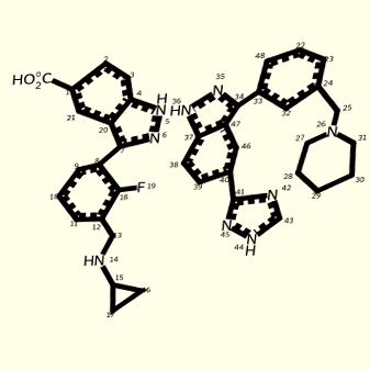 O=C(O)c1ccc2[nH]nc(-c3cccc(CNC4CC4)c3F)c2c1.c1cc(CN2CCCCC2)cc(-c2n[nH]c3ccc(-c4nc[nH]n4)cc23)c1